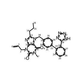 C=CCn1c(=O)n(C)c(=O)c2c1nc(CCC)n2Cc1ccc(-c2ccccc2-c2nnn[nH]2)cc1